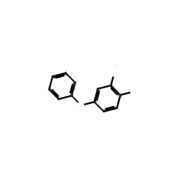 Clc1ccc(Sc2cc[c]cc2)cc1Cl